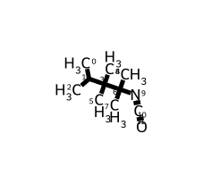 CC(C)C(C)(C)C(C)(C)N=C=O